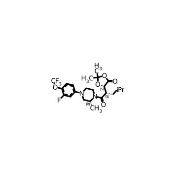 CC(C)C[C@H](C(=O)N1CCN(c2ccc(OC(F)(F)F)c(F)c2)C[C@H]1C)[C@@H]1OC(C)(C)OC1=O